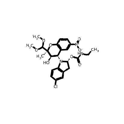 CCNC(=O)O[C@@H]1Cc2cc(Cl)ccc2N1[C@H]1c2cc([N+](=O)[O-])ccc2O[C@](C)(C(OC)OC)[C@@H]1O